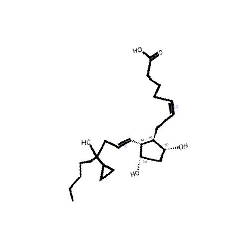 CCCCC(O)(C/C=C/[C@@H]1[C@@H](C/C=C\CCCC(=O)O)[C@H](O)C[C@@H]1O)C1CC1